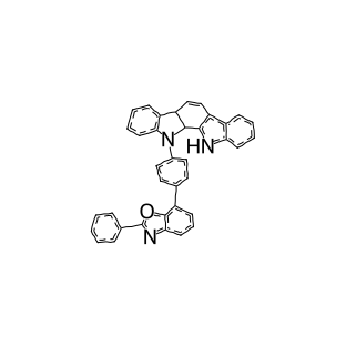 C1=CC2c3ccccc3N(c3ccc(-c4cccc5nc(-c6ccccc6)oc45)cc3)C2c2[nH]c3ccccc3c21